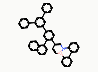 C1=CC(c2ccc(-c3cc(-c4ccccc4)cc(-c4ccccc4)c3)cc2-c2cccc3ccccc23)=CN2B1c1ccccc1-c1ccccc12